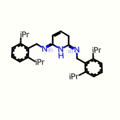 CC(C)c1cccc(C(C)C)c1C/N=C1/CC=C/C(=N\Cc2c(C(C)C)cccc2C(C)C)N1